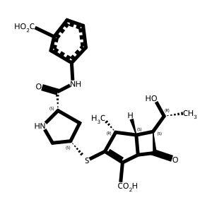 C[C@@H](O)[C@H]1C(=O)C2C(C(=O)O)=C(S[C@@H]3CN[C@H](C(=O)Nc4cccc(C(=O)O)c4)C3)[C@H](C)[C@@H]21